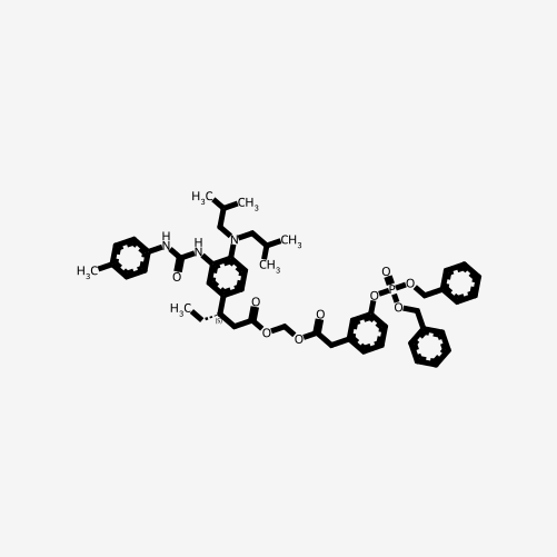 CC[C@@H](CC(=O)OCOC(=O)Cc1cccc(OP(=O)(OCc2ccccc2)OCc2ccccc2)c1)c1ccc(N(CC(C)C)CC(C)C)c(NC(=O)Nc2ccc(C)cc2)c1